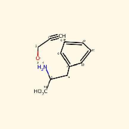 C#CC[O].NC(Cc1ccccc1)C(=O)O